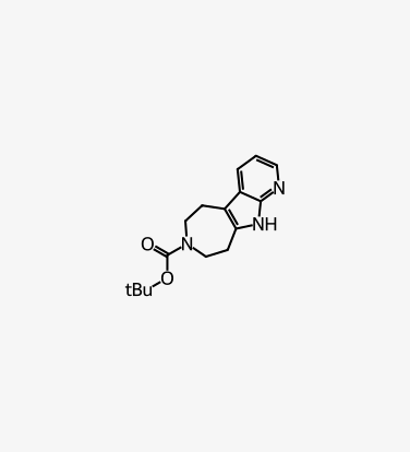 CC(C)(C)OC(=O)N1CCc2[nH]c3ncccc3c2CC1